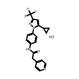 Cl.O=C(Cc1ccncc1)Nc1ccc(-n2nc(C(F)(F)F)cc2C2CC2)cc1